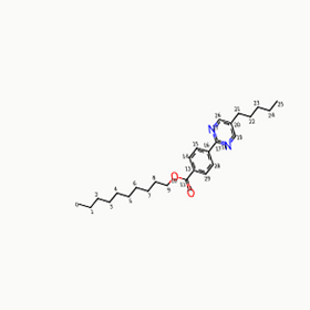 CCCCCCCCCCOC(=O)c1ccc(-c2ncc(CCCCC)cn2)cc1